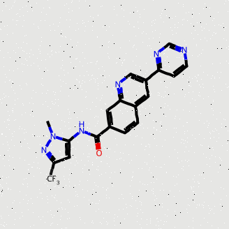 Cn1nc(C(F)(F)F)cc1NC(=O)c1ccc2cc(-c3ccncn3)cnc2c1